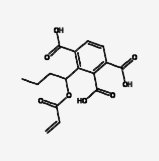 C=CC(=O)OC(CCC)c1c(C(=O)O)ccc(C(=O)O)c1C(=O)O